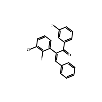 O=C(C(=Cc1ccccc1)c1cccc(Cl)c1F)c1cccc(Cl)c1